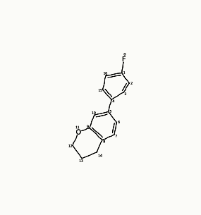 Fc1ccc(-c2ccc3c(c2)OCCC3)cc1